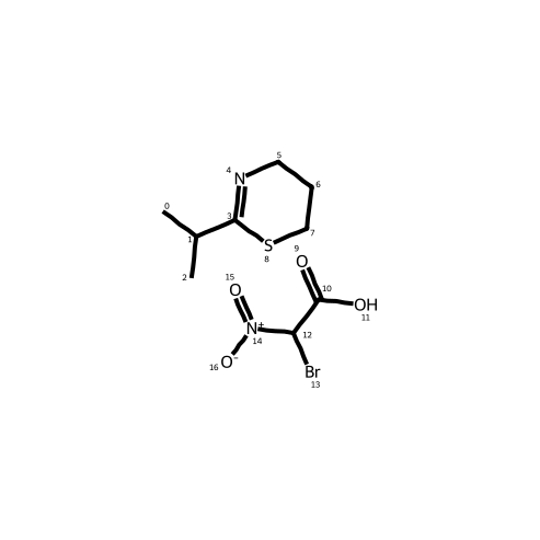 CC(C)C1=NCCCS1.O=C(O)C(Br)[N+](=O)[O-]